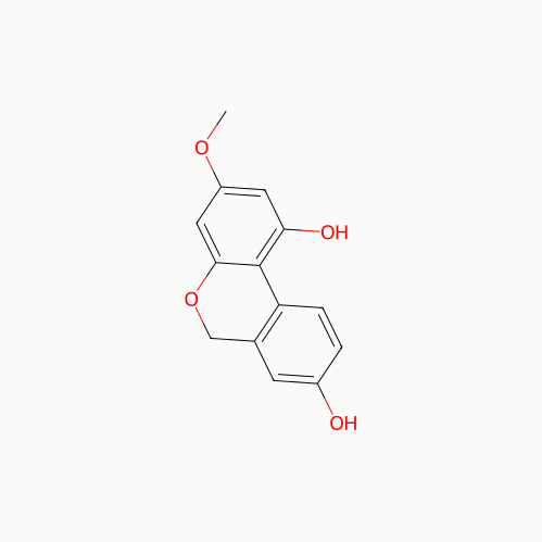 COc1cc(O)c2c(c1)OCc1cc(O)ccc1-2